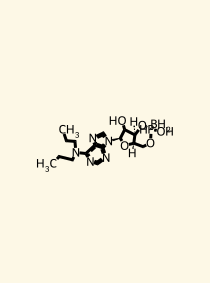 B[PH]1(O)OC[C@H]2O[C@@H](n3cnc4c(N(CCC)CCC)ncnc43)C(O)[C@H]2O1